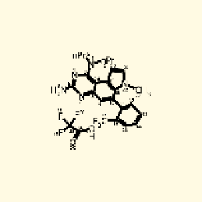 CCCN(CCC)c1nc(N)nc2cc(-c3ccccc3C(F)(F)F)c3c(ccn3C)c12.O=C(O)C(F)(F)F